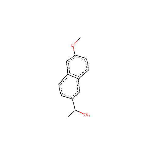 COc1ccc2cc(C(C)O)ccc2c1